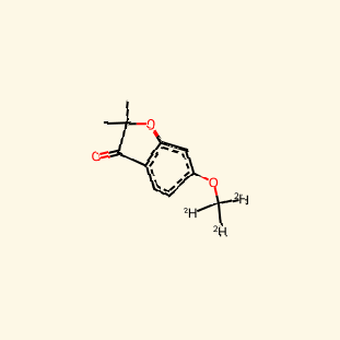 [2H]C([2H])([2H])Oc1ccc2c(c1)OC(C)(C)C2=O